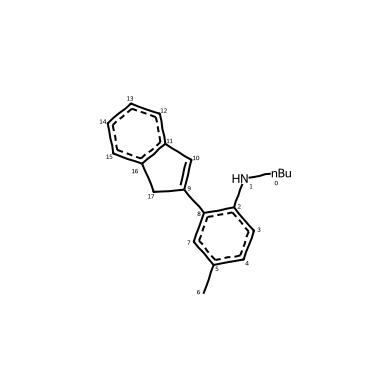 CCCCNc1ccc(C)cc1C1=Cc2ccccc2C1